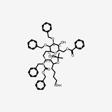 CCCCCCCCCCCCCCC1OC(C)(C)O[C@H]1[C@H](CC[C@]1(OC)OC(COC(=O)c2ccccc2)[C@H](O)[C@H](OCc2ccccc2)C1OCc1ccccc1)N(Cc1ccccc1)C(=O)OCc1ccccc1